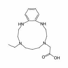 CCN1CCCN(CC(=O)O)CCNc2ccccc2NCC1